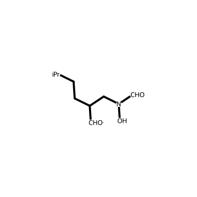 CC(C)CCC([C]=O)CN(O)C=O